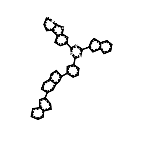 c1cc(-c2ccc3ccc(-c4ccc5ccccc5c4)cc3c2)cc(-c2nc(-c3ccc4ccccc4c3)nc(-c3ccc4c(c3)sc3ccccc34)n2)c1